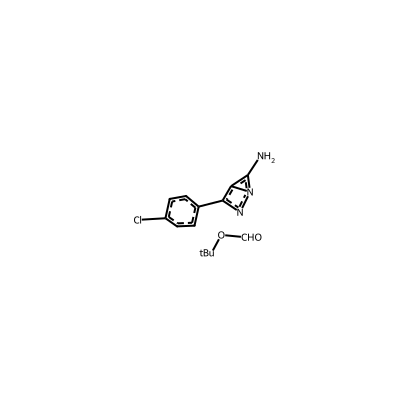 CC(C)(C)OC=O.Nc1c2c(-c3ccc(Cl)cc3)nn1-2